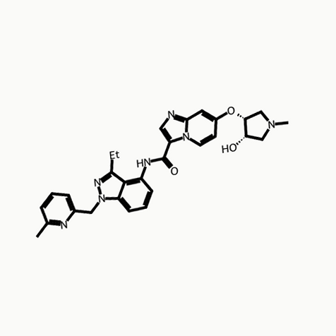 CCc1nn(Cc2cccc(C)n2)c2cccc(NC(=O)c3cnc4cc(O[C@@H]5CN(C)C[C@@H]5O)ccn34)c12